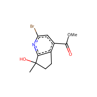 COC(=O)c1cc(Br)nc2c1CCC2(C)O